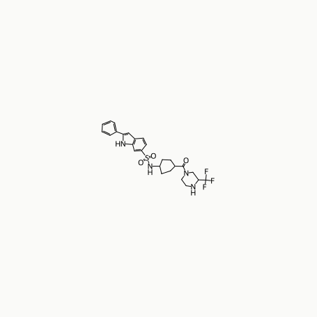 O=C(C1CCC(NS(=O)(=O)c2ccc3cc(-c4ccccc4)[nH]c3c2)CC1)N1CCNC(C(F)(F)F)C1